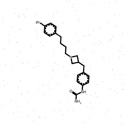 CC(C)c1ccc(CCCCN2CC(Cc3ccc(NC(N)=O)cc3)C2)cc1